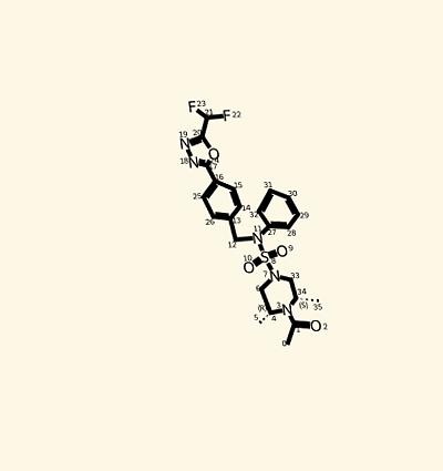 CC(=O)N1[C@H](C)CN(S(=O)(=O)N(Cc2ccc(-c3nnc(C(F)F)o3)cc2)c2ccccc2)C[C@@H]1C